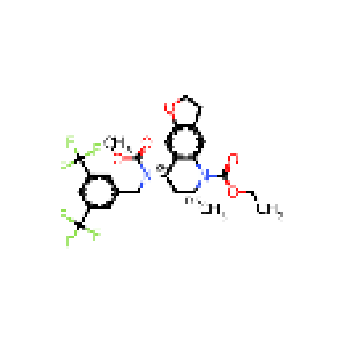 CCOC(=O)N1c2cc3c(cc2[C@@H](N(Cc2cc(C(F)(F)F)cc(C(F)(F)F)c2)C(=O)OC)C[C@H]1C)OCC3